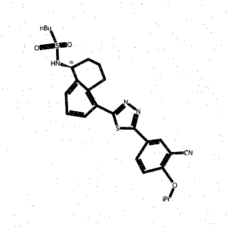 CCCCS(=O)(=O)N[C@H]1CCCc2c(-c3nnc(-c4ccc(OC(C)C)c(C#N)c4)s3)cccc21